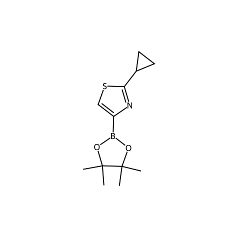 CC1(C)OB(c2csc(C3CC3)n2)OC1(C)C